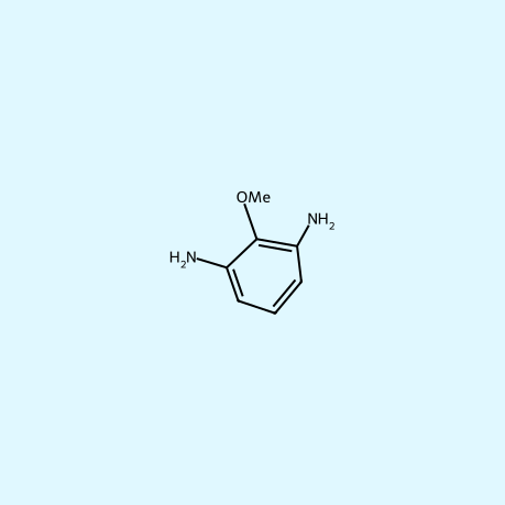 COc1c(N)cccc1N